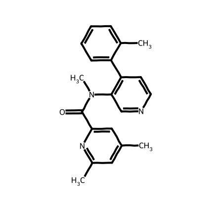 Cc1cc(C)nc(C(=O)N(C)c2cnccc2-c2ccccc2C)c1